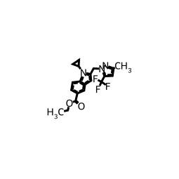 CCOC(=O)c1ccc2c(c1)cc(Cn1nc(C)cc1C(F)(F)F)n2C1CC1